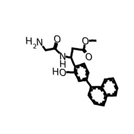 COC(=O)CC(NC(=O)CN)c1ccc(-c2cccc3ccccc23)cc1O